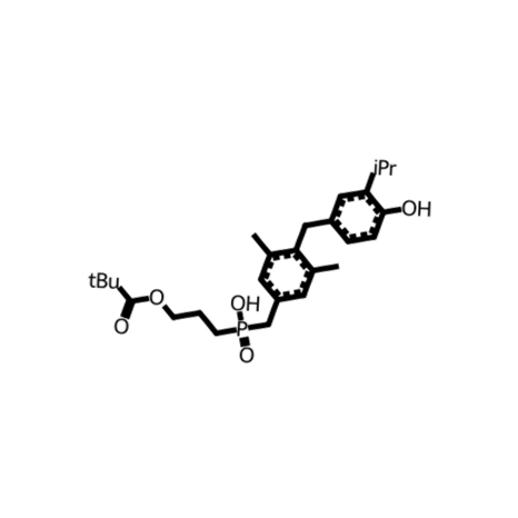 Cc1cc(CP(=O)(O)CCCOC(=O)C(C)(C)C)cc(C)c1Cc1ccc(O)c(C(C)C)c1